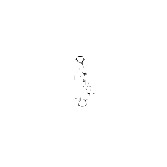 CN(Cc1nsc(NC(=O)NCc2cccc(F)c2)n1)C(=O)OC1=NN(C)C(=O)CC1